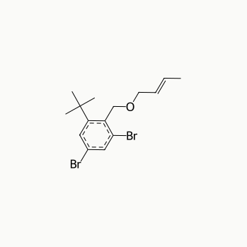 CC=CCOCc1c(Br)cc(Br)cc1C(C)(C)C